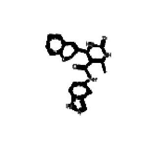 CC1=C(C(=O)Nc2ccc3[nH]ncc3c2)C(C2=Cc3ccccc3OC2)NC(=O)N1